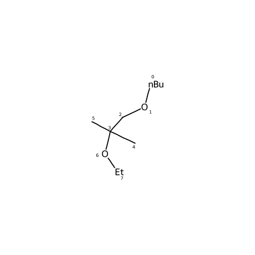 CCCCOCC(C)(C)OCC